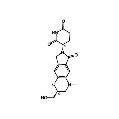 CN1C[C@@H](CO)Oc2cc3c(cc21)C(=O)N([C@H]1CCC(=O)NC1=O)C3